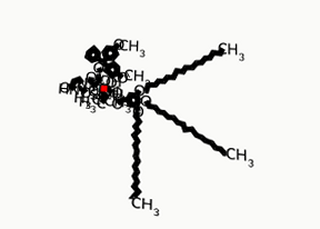 CCCCCCCCCCCCCCCCCCOc1cc(C(=O)OCC(=O)O[C@@]2(O)[C@@H](COC(c3ccccc3)(c3ccc(OC)cc3)c3ccc(OC)cc3)O[C@@H](n3ccc(=O)[nH]c3=O)[C@@H]2O[Si](C)(C)C(C)(C)C)cc(OCCCCCCCCCCCCCCCCCC)c1OCCCCCCCCCCCCCCCCCC